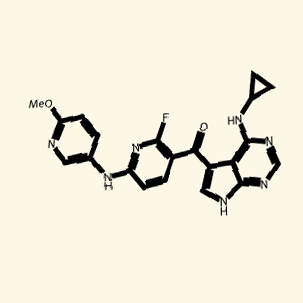 COc1ccc(Nc2ccc(C(=O)c3c[nH]c4ncnc(NC5CC5)c34)c(F)n2)cn1